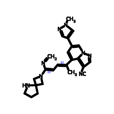 C=N/C(=C\C=C(/C)c1cc(-c2cnn(C)c2)cn2ncc(C#N)c12)N1CC2(CCCN2)C1